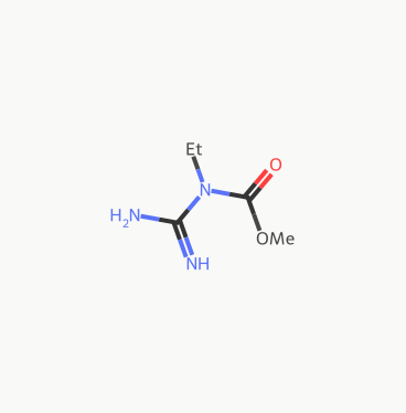 CCN(C(=N)N)C(=O)OC